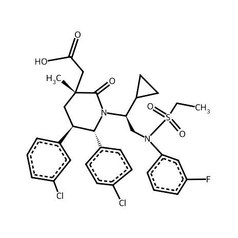 CCS(=O)(=O)N(C[C@H](C1CC1)N1C(=O)[C@@](C)(CC(=O)O)C[C@H](c2cccc(Cl)c2)[C@H]1c1ccc(Cl)cc1)c1cccc(F)c1